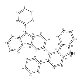 C1=CCCC(n2c3ccccc3c3cc(-c4c(-c5ccccc5)ccc5[nH]c6ccccc6c45)ccc32)=C1